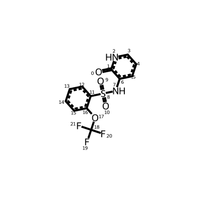 O=c1[nH]cc[c]c1NS(=O)(=O)c1ccccc1OC(F)(F)F